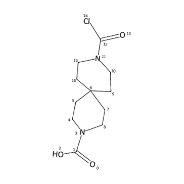 O=C(O)N1CCC2(CC1)CCN(C(=O)Cl)CC2